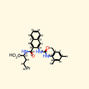 Cc1cc(C)c(NC(=O)Nc2cc3ccccc3cc2C(=O)NC(CCC(C)C)C(=O)O)c(C)c1